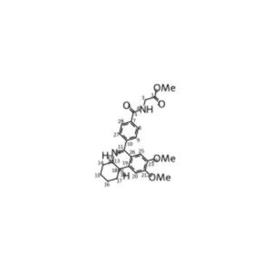 COC(=O)CNC(=O)c1ccc(C2=N[C@@H]3CCCC[C@@H]3c3cc(OC)c(OC)cc32)cc1